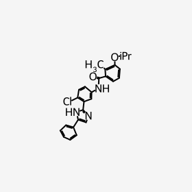 Cc1c(OC(C)C)cccc1C(=O)Nc1ccc(Cl)c(-c2ncc(-c3ccccc3)[nH]2)c1